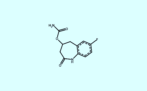 NC(=O)OC1CC(=O)Nc2ccc(F)cc2C1